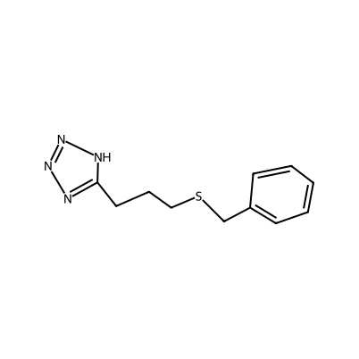 c1ccc(CSCCCc2nnn[nH]2)cc1